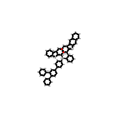 c1ccc(-c2ccc(-c3ccc(N(c4ccccc4-c4cccc5c4oc4cc6ccccc6cc45)c4cccc5c4sc4ccccc45)cc3)cc2-c2ccccc2)cc1